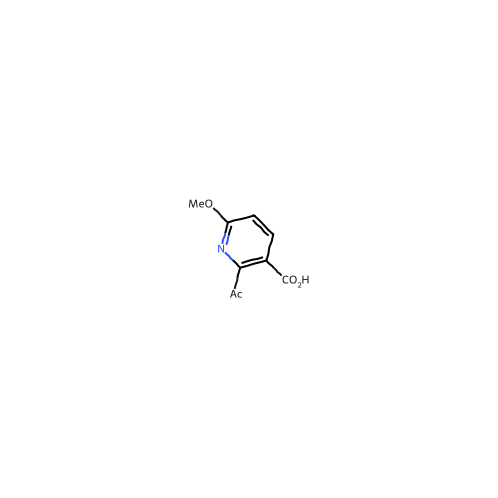 COc1ccc(C(=O)O)c(C(C)=O)n1